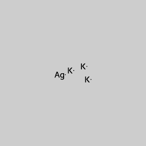 [Ag].[K].[K].[K]